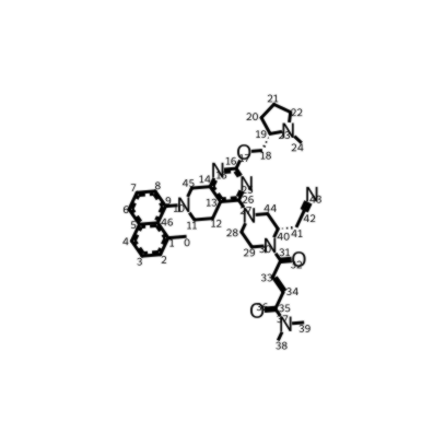 Cc1cccc2cccc(N3CCc4c(nc(OC[C@@H]5CCCN5C)nc4N4CCN(C(=O)/C=C/C(=O)N(C)C)[C@@H](CC#N)C4)C3)c12